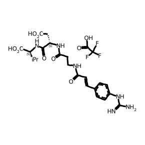 CC(C)[C@H](NC(=O)[C@H](CC(=O)O)NC(=O)CCNC(=O)C=Cc1ccc(NC(=N)N)cc1)C(=O)O.O=C(O)C(F)(F)F